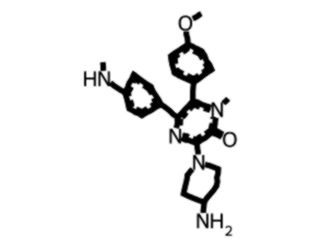 CNc1ccc(-c2nc(N3CCC(N)CC3)c(=O)n(C)c2-c2ccc(OC)cc2)cc1